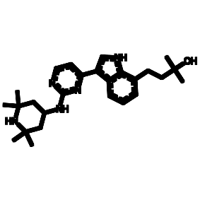 CC(C)(O)CCc1cccc2c(-c3ccnc(NC4CC(C)(C)NC(C)(C)C4)n3)c[nH]c12